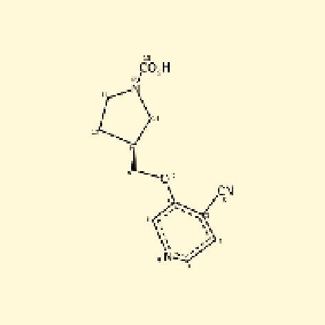 N#Cc1ccncc1OC[C@H]1CCN(C(=O)O)C1